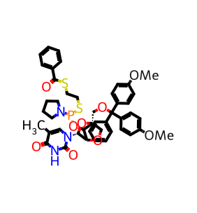 COc1ccc(C(OC[C@]23COC(C2OP(SCCSC(=O)c2ccccc2)N2CCCC2)[C@H](n2cc(C)c(=O)[nH]c2=O)O3)(c2ccccc2)c2ccc(OC)cc2)cc1